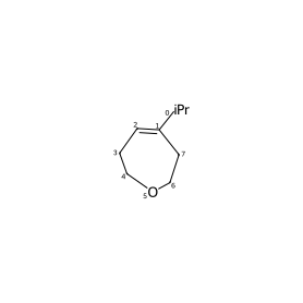 CC(C)C1=CCCOCC1